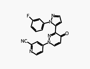 N#Cc1cc(-n2ccc(=O)c(-c3ccnn3-c3cccc(F)c3)n2)ccn1